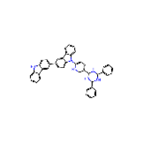 C1=C(C2NC(c3ccccc3)NC(c3ccccc3)N2)CNC(n2c3ccccc3c3cc(-c4ccc5[nH]c6ccccc6c5c4)ccc32)=C1